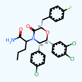 CCCC(C(N)=O)N1C(=O)[C@H](Cc2ccc(F)cc2)O[C@H](c2ccc(Cl)c(Cl)c2)[C@@H]1c1ccc(Cl)cc1